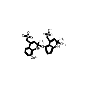 CC1(C)C=C(CS(=O)(=O)[O-])c2ccccc2N1.CC1(C)C=C(CS(=O)(=O)[O-])c2ccccc2N1.[Zn+2]